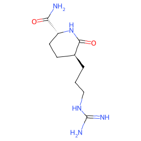 N=C(N)NCCC[C@H]1CC[C@H](C(N)=O)NC1=O